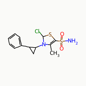 CC1=C(S(N)(=O)=O)SC(Cl)N1C1CC1c1ccccc1